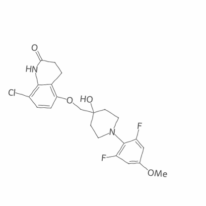 COc1cc(F)c(N2CCC(O)(COc3ccc(Cl)c4c3CCC(=O)N4)CC2)c(F)c1